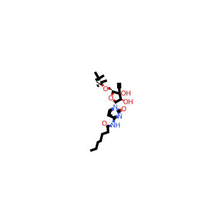 C#C[C@@]1(O)[C@@H](CO[Si](C)(C)C(C)(C)C)O[C@@H](n2ccc(NC(=O)CCCCCC)nc2=O)[C@@H]1O